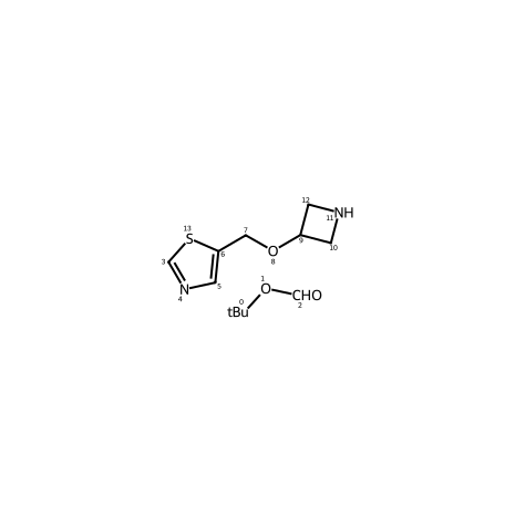 CC(C)(C)OC=O.c1ncc(COC2CNC2)s1